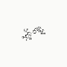 CC(C)(C)C1N(C(=O)O)CC12OCc1cc(C(=O)/C=C(\c3cc(Cl)c(F)c(Cl)c3)C(F)(F)F)ccc12